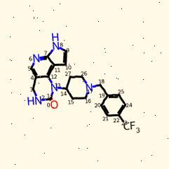 O=C1NCc2cnc3[nH]ccc3c2N1C1CCN(Cc2ccc(C(F)(F)F)cc2)CC1